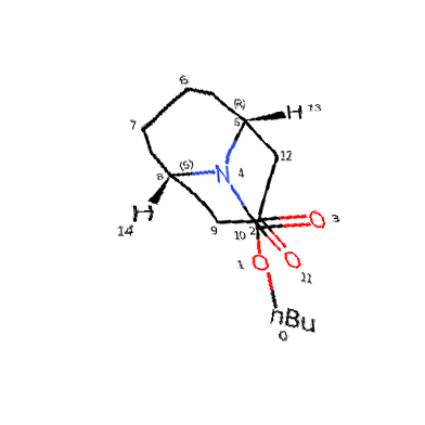 CCCCOC(=O)N1[C@@H]2CC[C@H]1CC(=O)C2